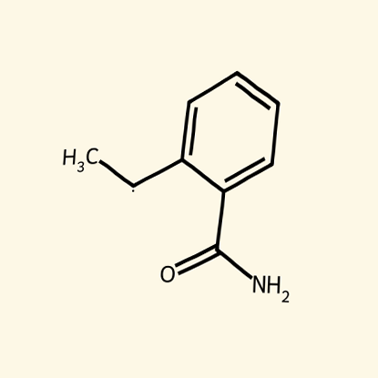 C[CH]c1ccccc1C(N)=O